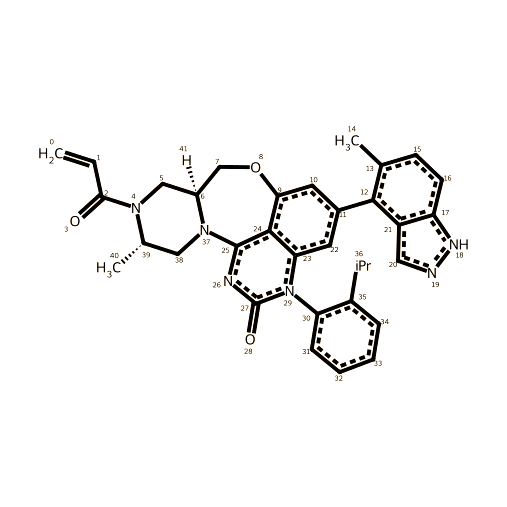 C=CC(=O)N1C[C@H]2COc3cc(-c4c(C)ccc5[nH]ncc45)cc4c3c(nc(=O)n4-c3ccccc3C(C)C)N2C[C@@H]1C